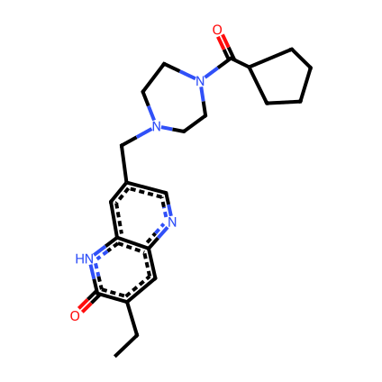 CCc1cc2ncc(CN3CCN(C(=O)C4CCCC4)CC3)cc2[nH]c1=O